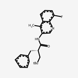 Cc1c(NC(=O)[C@@H](Cc2ccccc2)CC(C)(C)C)cnc2c(F)cccc12